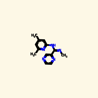 C/N=C(/Nc1cc(C)cc(C)n1)c1cnccn1